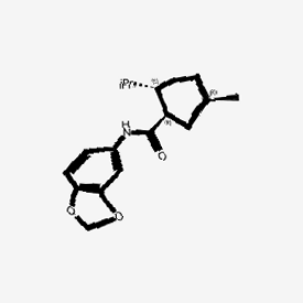 CC(C)[C@@H]1CC[C@@H](C)C[C@H]1C(=O)Nc1ccc2c(c1)OCO2